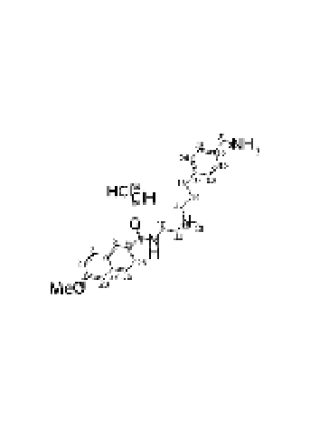 COc1ccc2cc(C(=O)NCCN(C)CCCc3ccc(CN)cc3)ccc2c1.Cl.Cl